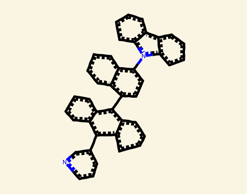 c1cncc(-c2c3ccccc3c(-c3ccc(-n4c5ccccc5c5ccccc54)c4ccccc34)c3ccccc23)c1